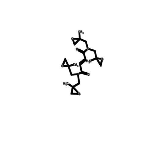 CC1(CN(CC2(C)CO2)C(=O)/C=C/C(=O)N(CC2(C)CO2)CC2(C)CO2)CO1